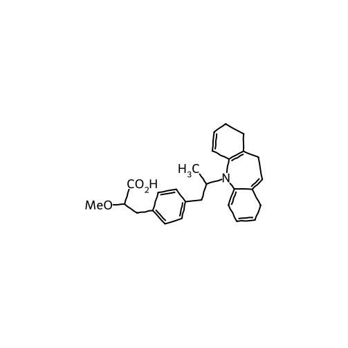 COC(Cc1ccc(CC(C)N2C3=CC=CCC3=CCC3=C2C=CCC3)cc1)C(=O)O